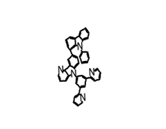 c1ccc(-n2c3ccccc3c3cccc(-c4ccc5c(c4)c4ncccc4n5-c4cc(-c5ccccn5)cc(-c5ccccn5)c4)c32)cc1